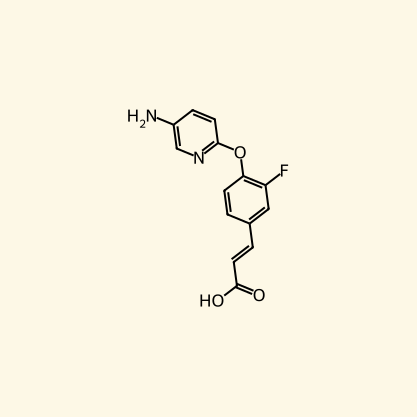 Nc1ccc(Oc2ccc(C=CC(=O)O)cc2F)nc1